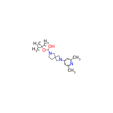 Cc1cc(N2CC3(CCN(C(O)OC(C)(C)C)C3)C2)cc(C)n1